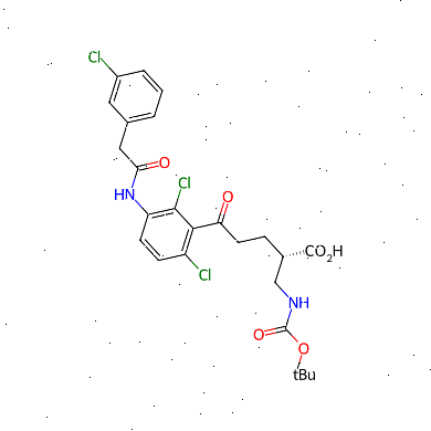 CC(C)(C)OC(=O)NC[C@H](CCC(=O)c1c(Cl)ccc(NC(=O)Cc2cccc(Cl)c2)c1Cl)C(=O)O